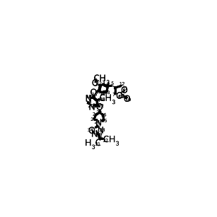 COc1cc(C[C@H]2CO[S@@](=O)OC2)ccc1Oc1ncnc(OC2CCN(c3nc(C(C)C)no3)CC2)c1C